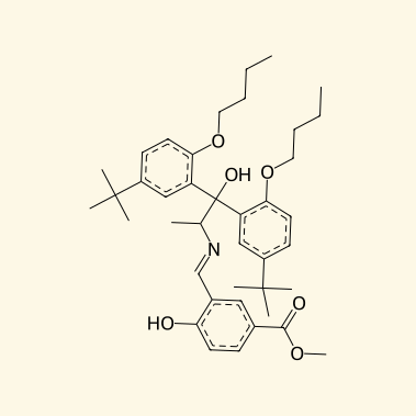 CCCCOc1ccc(C(C)(C)C)cc1C(O)(c1cc(C(C)(C)C)ccc1OCCCC)C(C)N=Cc1cc(C(=O)OC)ccc1O